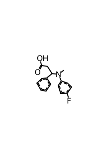 CN(c1ccc(F)cc1)C(CC(=O)O)c1ccccc1